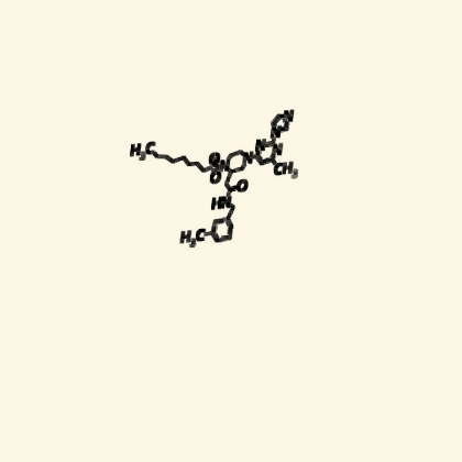 CCCCCCCCS(=O)(=O)N1CCN(c2cc(C)nc(-n3ccnc3)n2)CC1CC(=O)NCc1cccc(C)c1